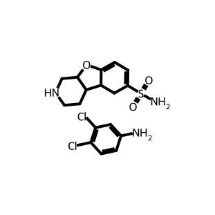 NS(=O)(=O)C1=CC=C2OC3CNCCC3C2C1.Nc1ccc(Cl)c(Cl)c1